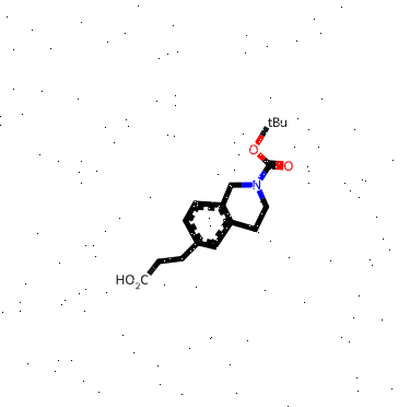 CC(C)(C)OC(=O)N1CCc2cc(CCC(=O)O)ccc2C1